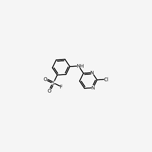 O=S(=O)(F)c1cccc(Nc2ccnc(Cl)n2)c1